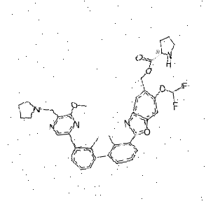 COc1nc(-c2cccc(-c3cccc(-c4nc5cc(COC(=O)[C@@H]6CCCN6)c(OC(F)F)cc5o4)c3C)c2C)cnc1CN1CCCC1